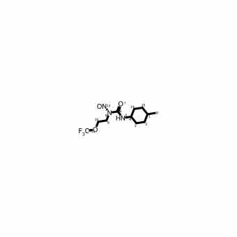 CC1CCC(NC(=O)N(CCOC(F)(F)F)N=O)CC1